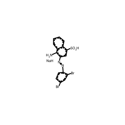 Nc1c(N=Nc2ccc(Br)cc2Br)cc(S(=O)(=O)O)c2ccccc12.[NaH]